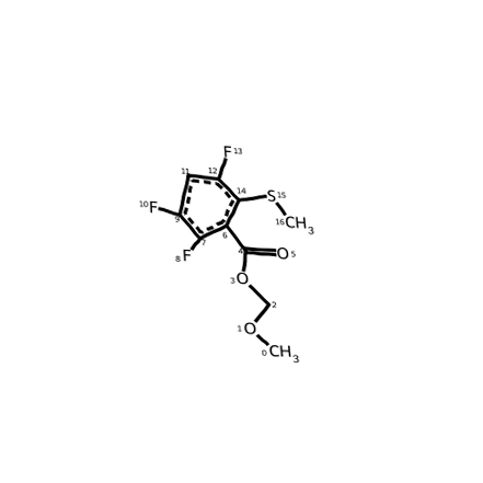 COCOC(=O)c1c(F)c(F)cc(F)c1SC